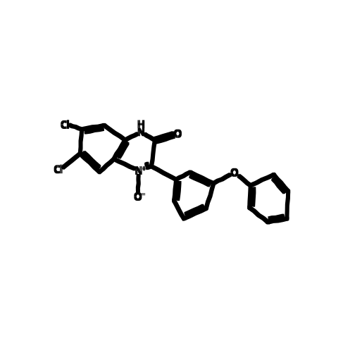 O=c1[nH]c2cc(Cl)c(Cl)cc2[n+]([O-])c1-c1cccc(Oc2ccccc2)c1